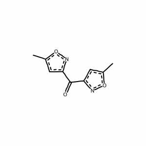 Cc1cc(C(=O)c2cc(C)on2)no1